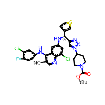 CC(C)(C)OC(=O)N1CCC(n2cc([C@@H](Nc3cc(Cl)c4ncc(C#N)c(Nc5ccc(F)c(Cl)c5)c4c3)c3ccsc3)nn2)CC1